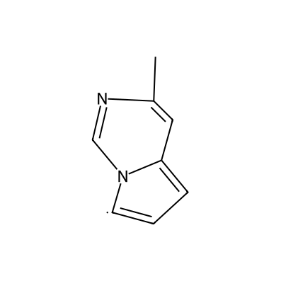 Cc1cc2cc[c]n2cn1